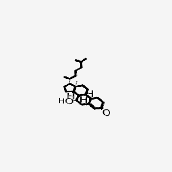 CC(C)CCCC(C)[C@H]1CC[C@H]2[C@@H]3[C@@H](O)CC4=CC(=O)CC[C@]4(C)[C@H]3CC[C@]12C